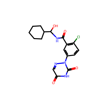 O=C(NC(O)C1CCCCC1)c1cc(-n2ncc(=O)[nH]c2=O)ccc1Cl